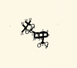 COC(=O)C12C3C4C1C1C2C3C41B1OC(C)(C)C(C)(C)O1